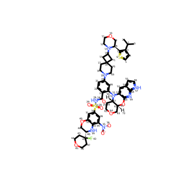 CC(C)c1ccsc1[C@@H]1COCCN1C1CC2(CCN(c3ccc(C(=O)NS(=O)(=O)c4cc5c(c([N+](=O)[O-])c4)N[C@H](C4(F)CCOCC4)CO5)c(N4c5cc6cc[nH]c6nc5O[C@H]5COCC[C@@H]54)c3)CC2)C1